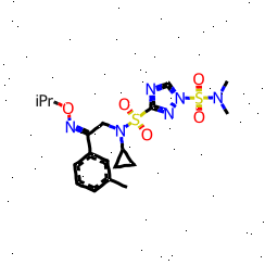 Cc1cccc(/C(CN(C2CC2)S(=O)(=O)c2ncn(S(=O)(=O)N(C)C)n2)=N/OC(C)C)c1